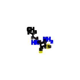 CCCCCNc1c(N)c(=S)c1=S